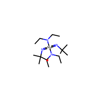 CC[N](CC)[Mo](=[N]C(C)(C)C)(=[N]C(C)(C)C)[N](CC)CC